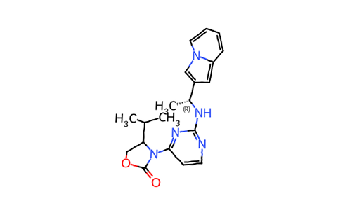 CC(C)C1COC(=O)N1c1ccnc(N[C@H](C)c2cc3ccccn3c2)n1